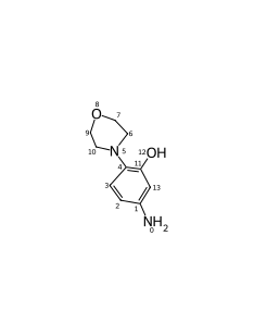 Nc1ccc(N2CCOCC2)c(O)c1